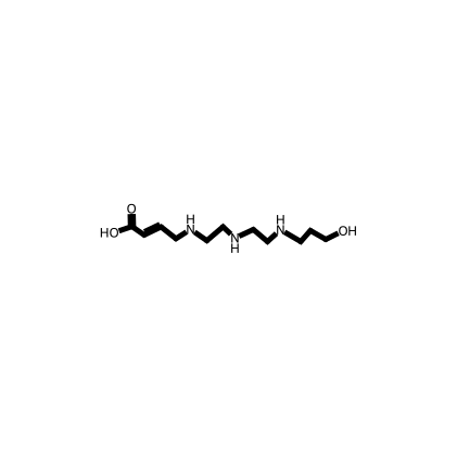 O=C(O)C=CCNCCNCCNCCCO